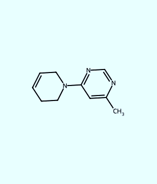 Cc1cc(N2CC=CCC2)ncn1